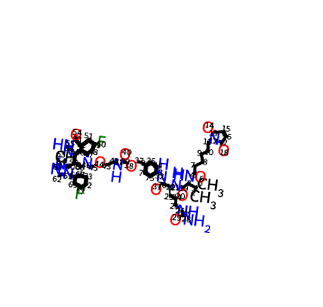 CC(C)[C@H](NC(=O)CCCCCN1C(=O)C=CC1=O)C(=O)N[C@@H](CCCNC(N)=O)C(=O)Nc1ccc(COC(=O)NCCOCN2c3cc(F)cc4c(=O)[nH]nc(c34)C(c3ncnn3C)[C@H]2c2ccc(F)cc2)cc1